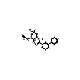 CC(C)(F)CC(NC(=O)N1C=C(c2ccccc2)CCC1)C(=O)NCC#N